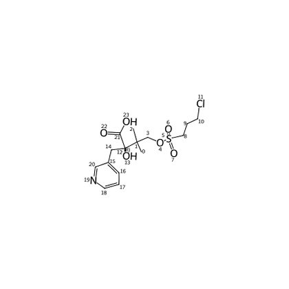 CC(C)(COS(=O)(=O)CCCCl)[C@](O)(Cc1cccnc1)C(=O)O